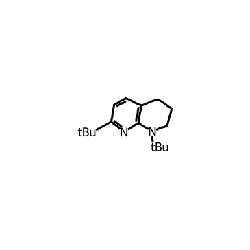 CC(C)(C)c1ccc2c(n1)N(C(C)(C)C)CCC2